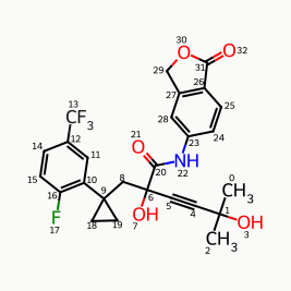 CC(C)(O)C#CC(O)(CC1(c2cc(C(F)(F)F)ccc2F)CC1)C(=O)Nc1ccc2c(c1)COC2=O